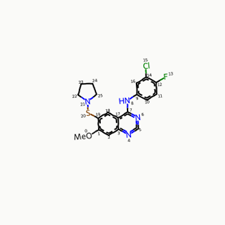 COc1cc2ncnc(Nc3ccc(F)c(Cl)c3)c2cc1SN1CCCC1